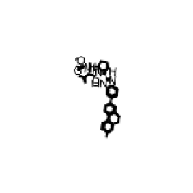 COC(=O)N[C@H](C(=O)N1[C@@H]2CC[C@@H](C2)[C@H]1c1nc2ccc(-c3ccc4c(c3)CCc3cc(C)ccc3-4)cc2[nH]1)C(C)C